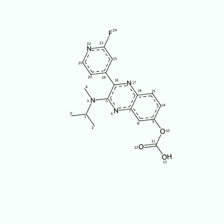 CC(C)N(C)c1nc2cc(OC(=O)O)ccc2nc1-c1ccnc(F)c1